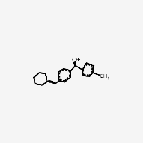 [CH]=C(c1ccc(C)cc1)c1ccc(C=C2CCCCC2)cc1